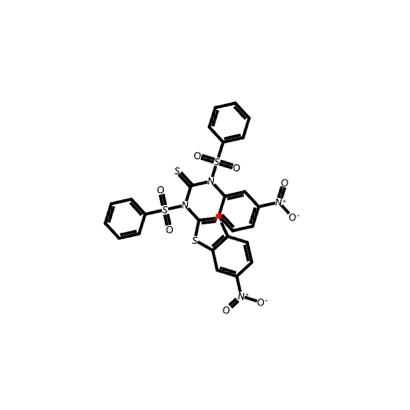 O=[N+]([O-])c1cccc(N(C(=S)N(c2nc3ccc([N+](=O)[O-])cc3s2)S(=O)(=O)c2ccccc2)S(=O)(=O)c2ccccc2)c1